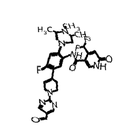 CC1CN(c2cc(F)c(C3=CCN(c4ncc(C=O)cn4)CC3)cc2NC(=O)c2c[nH]c(=O)cc2C(F)F)CC(C)N1C